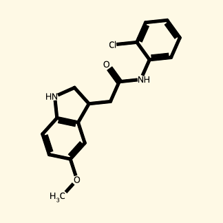 COc1ccc2c(c1)C(CC(=O)Nc1ccccc1Cl)CN2